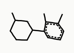 Cc1cccc(C2[CH]C(C)CCC2)c1C